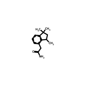 CC1CC(C)(C)c2cccc(CC(N)=O)c21